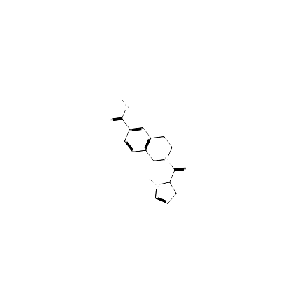 CN1C=CCC1C(=O)N1CCc2cc(C(=O)NO)ccc2C1